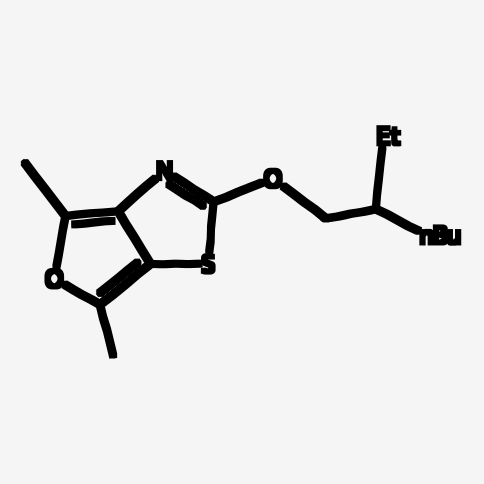 CCCCC(CC)COc1nc2c(C)oc(C)c2s1